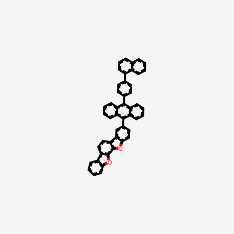 c1ccc2c(-c3ccc(-c4c5ccccc5c(-c5ccc6oc7c(ccc8c9ccccc9oc87)c6c5)c5ccccc45)cc3)cccc2c1